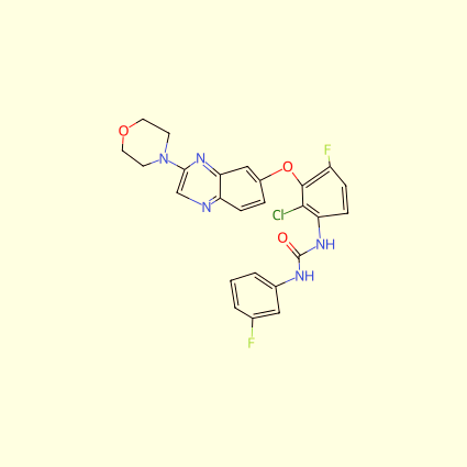 O=C(Nc1cccc(F)c1)Nc1ccc(F)c(Oc2ccc3ncc(N4CCOCC4)nc3c2)c1Cl